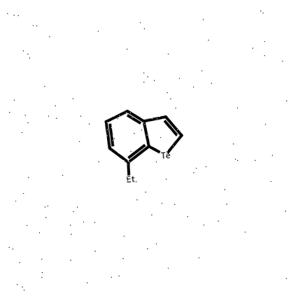 CCc1cccc2cc[te]c12